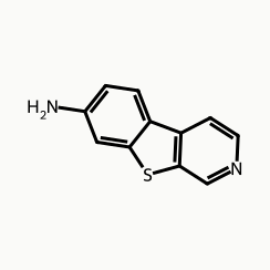 Nc1ccc2c(c1)sc1cnccc12